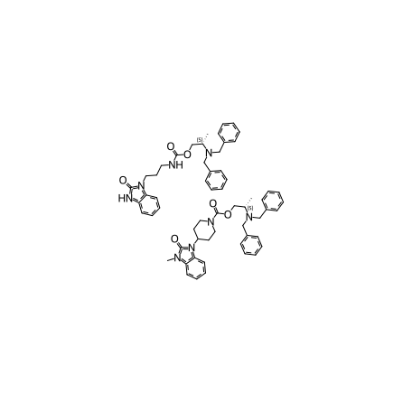 C[C@@H](COC(=O)N1CCC(n2c(=O)n(C)c3ccccc32)CC1)N(Cc1ccccc1)Cc1ccccc1.C[C@@H](COC(=O)NCCCn1c(=O)[nH]c2ccccc21)N(Cc1ccccc1)Cc1ccccc1